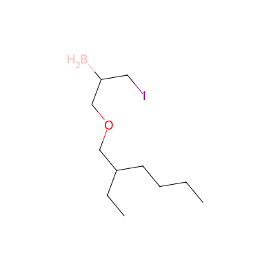 BC(CI)COCC(CC)CCCC